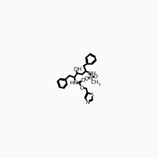 CS(=O)(=O)NC(Cc1ccccc1)CC(O)C(Cc1ccccc1)NC(=O)OCc1cncs1